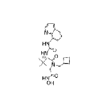 CC(C)(C)[C@H](NC(=O)Nc1cccc2cccnc12)C(=O)N(CC(=O)NO)CC1CCC1